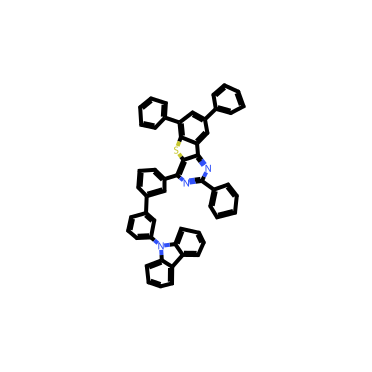 c1ccc(-c2cc(-c3ccccc3)c3sc4c(-c5cccc(-c6cccc(-n7c8ccccc8c8ccccc87)c6)c5)nc(-c5ccccc5)nc4c3c2)cc1